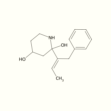 C/C=C(\Cc1ccccc1)C1(O)CC(O)CCN1